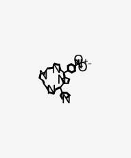 O=[N+]([O-])c1ccc(C2=C3C=CC(=N3)C(c3ccncc3)=C3C=CC(=N3)C=C3C=CC(=N3)C=C3C=CC2=N3)cc1